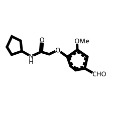 COc1cc(C=O)ccc1OCC(=O)NC1CCCC1